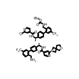 C[C@@H](NC(=O)c1ccnc(Cl)c1)c1ccc(-c2cc(C(F)(F)F)ccc2CNC(=O)OC(C)(C)C)cc1.C[C@@H](NC(=O)c1ccnc(N2CC3(CCOC3)C2)c1)c1ccc(-c2cc(C(F)(F)F)ccc2CN)cc1